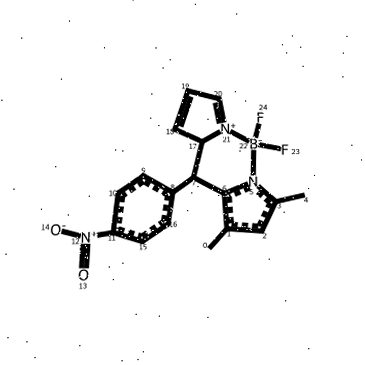 Cc1cc(C)n2c1C(c1ccc([N+](=O)[O-])cc1)C1C=CC=[N+]1[B-]2(F)F